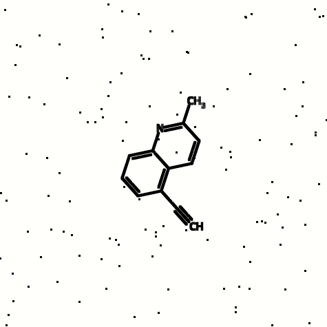 C#Cc1cccc2nc(C)ccc12